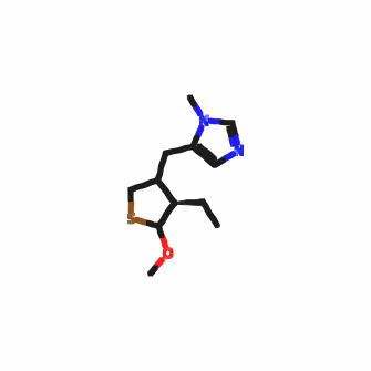 CC[C@@H]1C(Cc2cncn2C)CSC1OC